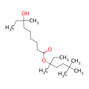 CCC(C)(O)CCCCCC(=O)OC(C)(CC)CCC(C)(C)C